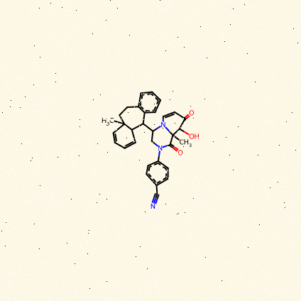 CC12C=CC=CC1C(C1CN(c3ccc(C#N)cc3)C(=O)C3(C)C(O)C(=O)C=CN13)c1ccccc1CC2